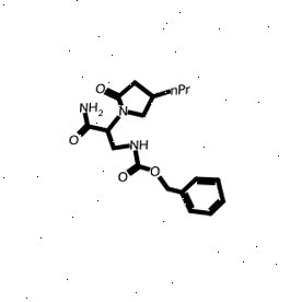 CCCC1CC(=O)N(C(CNC(=O)OCc2ccccc2)C(N)=O)C1